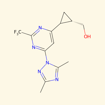 Cc1nc(C)n(-c2cc(C3C[C@@H]3CO)nc(C(F)(F)F)n2)n1